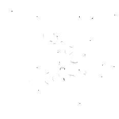 Cc1[nH]cc2c(=O)n(-c3ccc(Cl)cc3)nc-2c1-c1cccc(CS(N)(=O)=O)c1